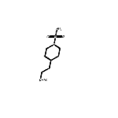 CC(=O)NCCC1CCN(S(N)(=O)=O)CC1